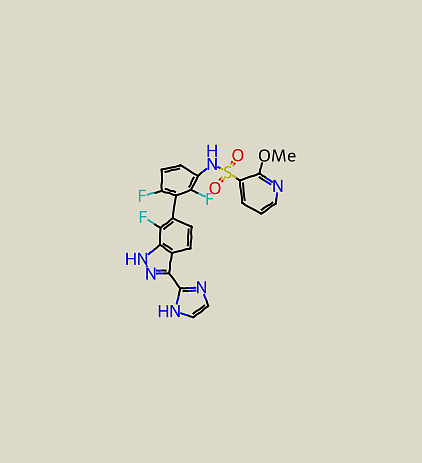 COc1ncccc1S(=O)(=O)Nc1ccc(F)c(-c2ccc3c(-c4ncc[nH]4)n[nH]c3c2F)c1F